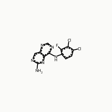 Nc1ncc2ncnc(Nc3ccc(Cl)c(Cl)c3F)c2n1